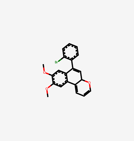 COc1cc2c(cc1OC)C1=CC=COC1C=C2c1ccccc1Br